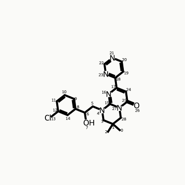 CC1(C)CN(CC(O)c2cccc(Cl)c2)c2nc(-c3ccncn3)cc(=O)n2C1